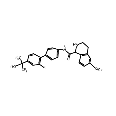 CSc1ccc2c(c1)CCNC2C(=O)Nc1ccc(-c2ccc(C(O)(C(F)(F)F)C(F)(F)F)cc2F)cc1